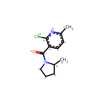 Cc1ccc(C(=O)N2CCCC2C)c(Cl)n1